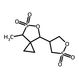 CC1C2(CC2)C(C2COS(=O)(=O)C2)OS1(=O)=O